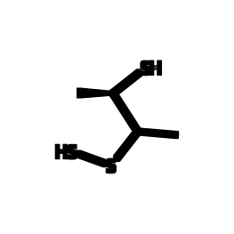 CC(SS)[C@@H](C)S